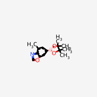 Cc1cc(B2OC(C)(C)C(C)(C)O2)cc2ocnc12